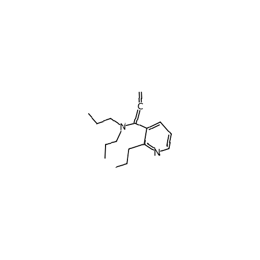 C=C=C(c1cccnc1CCC)N(CCC)CCC